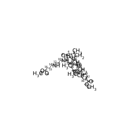 C=C(C)[C@@H]1CC[C@]2(C(=O)NCCCNCCCC(=O)OC)CC[C@]3(C)[C@H](CC[C@@H]4[C@@]5(C)CC=C(c6ccc(C(=O)OC)cc6)C(C)(C)[C@@H]5CC[C@]43C)[C@@H]12